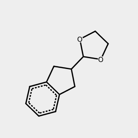 c1ccc2c(c1)CC(C1OCCO1)C2